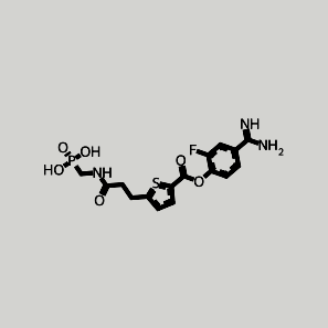 N=C(N)c1ccc(OC(=O)c2ccc(CCC(=O)NCP(=O)(O)O)s2)c(F)c1